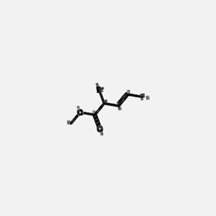 COC(=O)C(Br)C=CF